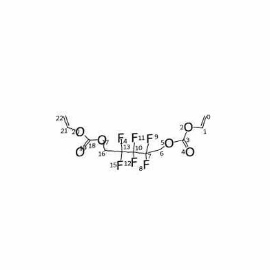 C=COC(=O)OCC(F)(F)C(F)(F)C(F)(F)COC(=O)OC=C